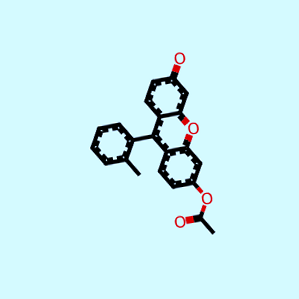 CC(=O)Oc1ccc2c(-c3ccccc3C)c3ccc(=O)cc-3oc2c1